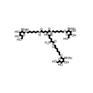 CC(=O)NC1C(OCCCCCCNC(=O)CCC(NC(=O)CCC(N)C(=O)NCCCCCCOC2OC(CO)C(O)C(O)C2NC(C)=O)C(=O)NCCCCCCOC2OC(CO)C(O)C(O)C2NC(C)=O)OC(CO)C(O)C1O